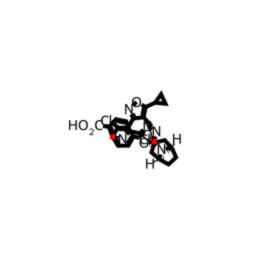 O=C(O)c1ccc(-c2nnc(N3[C@@H]4CC[C@H]3C[C@@H](OCc3c(-c5c(Cl)cccc5Cl)noc3C3CC3)C4)o2)nc1